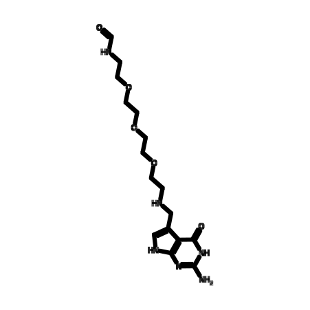 Nc1nc2[nH]cc(CNCCOCCOCCOCCNC=O)c2c(=O)[nH]1